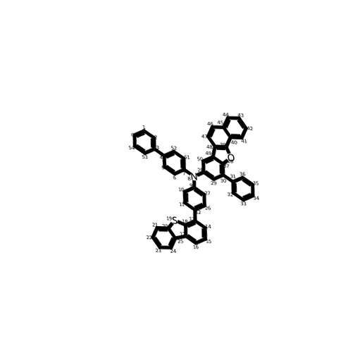 c1ccc(-c2ccc(N(c3ccc(-c4cccc5c4sc4ccccc45)cc3)c3cc(-c4ccccc4)c4oc5c6ccccc6ccc5c4c3)cc2)cc1